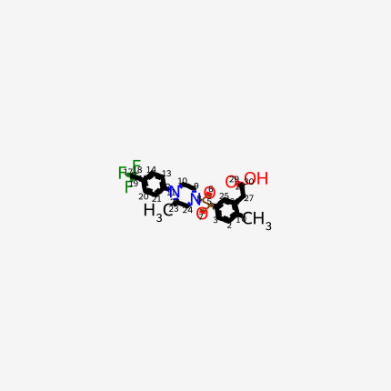 Cc1ccc(S(=O)(=O)N2CCN(c3ccc(C(F)(F)F)cc3)C(C)C2)cc1CC(=O)O